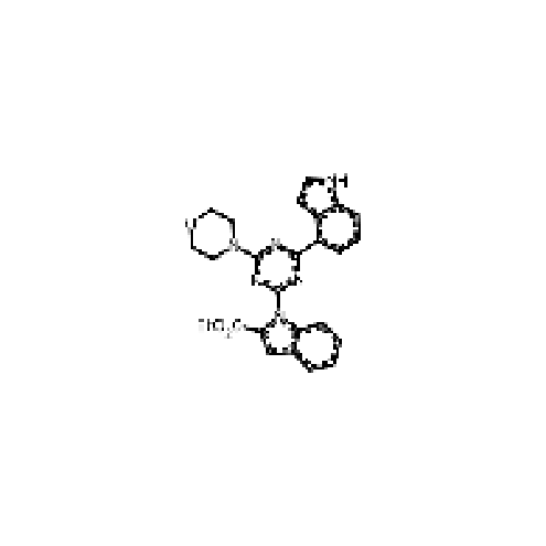 CCOC(=O)c1cc2ccccc2n1-c1nc(-c2cccc3[nH]ccc23)nc(N2CCOCC2)n1